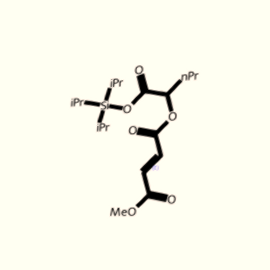 CCCC(OC(=O)/C=C/C(=O)OC)C(=O)O[Si](C(C)C)(C(C)C)C(C)C